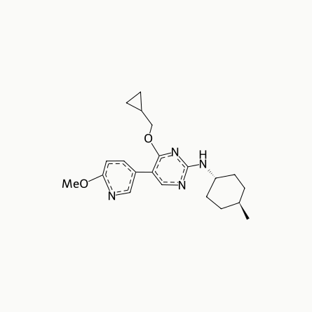 COc1ccc(-c2cnc(N[C@H]3CC[C@H](C)CC3)nc2OCC2CC2)cn1